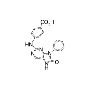 O=C(O)c1ccc(Nc2ncc3[nH]c(=O)n(-c4ccccc4)c3n2)cc1